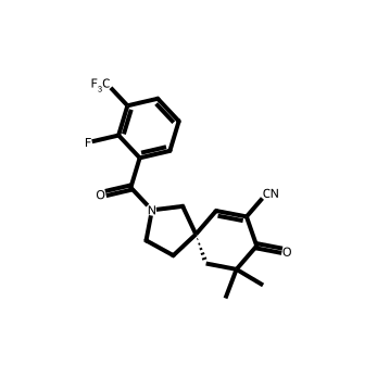 CC1(C)C[C@]2(C=C(C#N)C1=O)CCN(C(=O)c1cccc(C(F)(F)F)c1F)C2